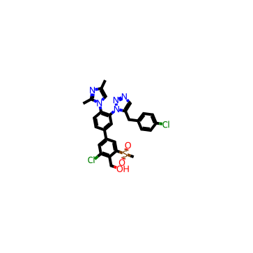 Cc1cn(-c2ccc(-c3cc(Cl)c(CO)c(S(C)(=O)=O)c3)cc2-n2nncc2Cc2ccc(Cl)cc2)c(C)n1